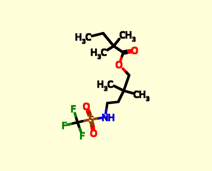 CCC(C)(C)C(=O)OCC(C)(C)CCNS(=O)(=O)C(F)(F)F